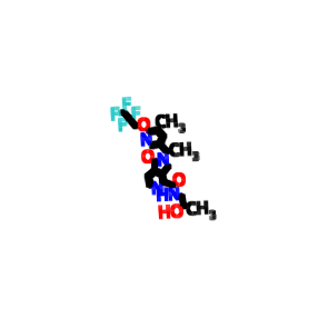 Cc1cc(C(C)N2Cc3c(ccnc3C(=O)NCC(C)O)C2=O)cnc1OCC(F)(F)C(F)F